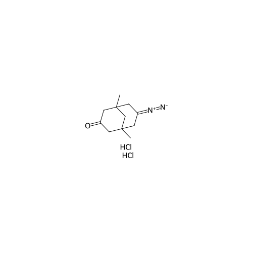 CC12CC(=O)CC(C)(CC(=[N+]=[N-])C1)C2.Cl.Cl